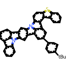 CC(C)(C)c1ccc(-c2cc3c4cc5c(cc4n4c6ccc7sc8ccccc8c7c6c(c2)c34)c2cccc3c4ccccc4n5c32)cc1